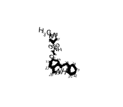 Cn1cc(S(=O)(=O)NCCOc2ccc3c(c2)C(Cc2ccccc2)NC3)cn1